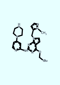 Cn1nccc1Cn1ccc2c(OCC(C)(C)C)nc(Nc3cc(N4CCNCC4)ccn3)nc21